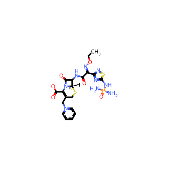 CCON=C(C(=O)NC1C(=O)N2C(C(=O)[O-])=C(C[n+]3ccccc3)CS[C@@H]12)c1nsc(NP(N)(N)=O)n1